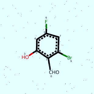 O=Cc1c(O)cc(F)cc1Br